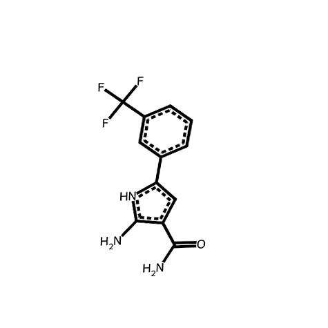 NC(=O)c1cc(-c2cccc(C(F)(F)F)c2)[nH]c1N